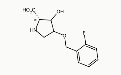 O=C(O)[C@H]1NCC(OCc2ccccc2F)C1O